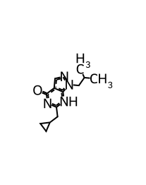 CC(C)Cn1ncc2c(=O)nc(CC3CC3)[nH]c21